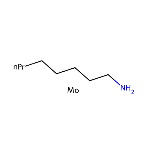 CCCCCCCCN.[Mo]